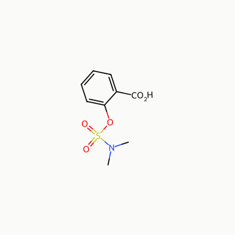 CN(C)S(=O)(=O)Oc1ccccc1C(=O)O